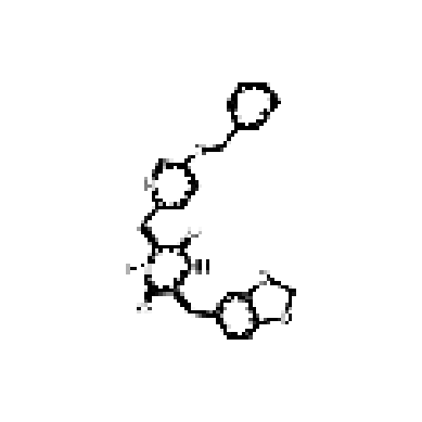 O=c1[nH]c(=Cc2ccc(OCc3ccccc3)cn2)c(=O)[nH]c1=Cc1ccc2c(c1)OCO2